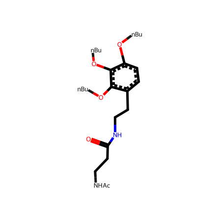 CCCCOc1ccc(CCNC(=O)CCNC(C)=O)c(OCCCC)c1OCCCC